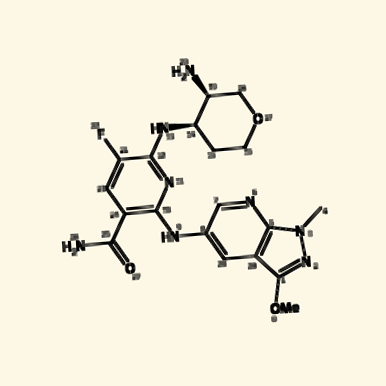 COc1nn(C)c2ncc(Nc3nc(N[C@@H]4CCOC[C@@H]4N)c(F)cc3C(N)=O)cc12